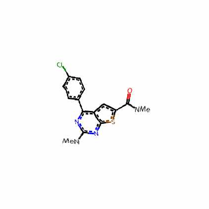 CNC(=O)c1cc2c(-c3ccc(Cl)cc3)nc(NC)nc2s1